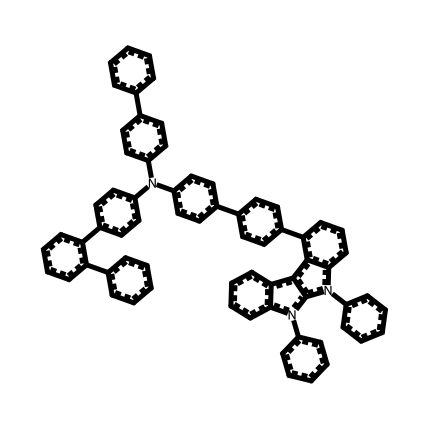 c1ccc(-c2ccc(N(c3ccc(-c4ccc(-c5cccc6c5c5c7ccccc7n(-c7ccccc7)c5n6-c5ccccc5)cc4)cc3)c3ccc(-c4ccccc4-c4ccccc4)cc3)cc2)cc1